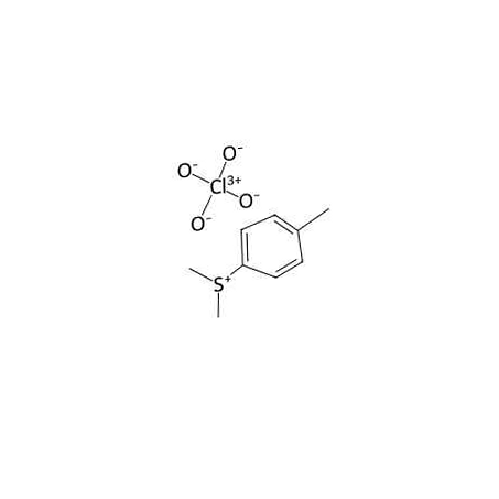 Cc1ccc([S+](C)C)cc1.[O-][Cl+3]([O-])([O-])[O-]